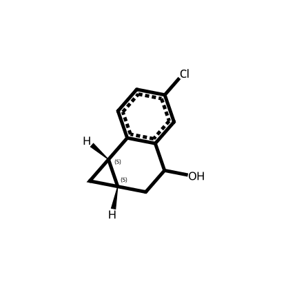 OC1C[C@@H]2C[C@@H]2c2ccc(Cl)cc21